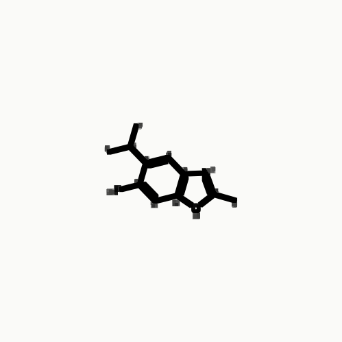 Cc1nc2cc(C(C)C)c(F)cc2o1